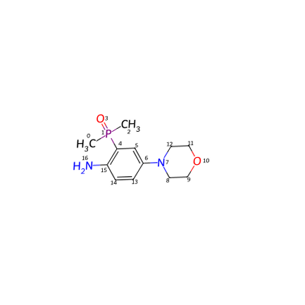 CP(C)(=O)c1cc(N2CCOCC2)ccc1N